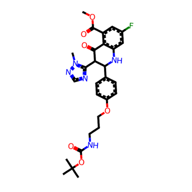 COC(=O)c1cc(F)cc2c1C(=O)C(c1ncnn1C)C(c1ccc(OCCCNC(=O)OC(C)(C)C)cc1)N2